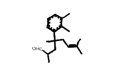 CC(C)=CCC(C)(CC(C)C=O)c1cccc(C)c1C